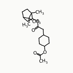 CC(=O)OC1CCC(CC(=O)OC2CC3CCC2(C)C3(C)C)CC1